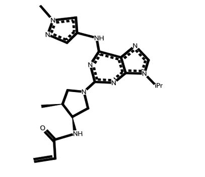 C=CC(=O)N[C@@H]1CN(c2nc(Nc3cnn(C)c3)c3ncn(C(C)C)c3n2)C[C@@H]1C